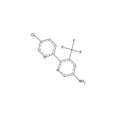 Nc1cnc(-c2ccc(Cl)cn2)c(C(F)(F)F)c1